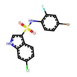 O=S(=O)(Nc1ccc(Br)cc1F)c1c[nH]c2cc(Cl)ccc12